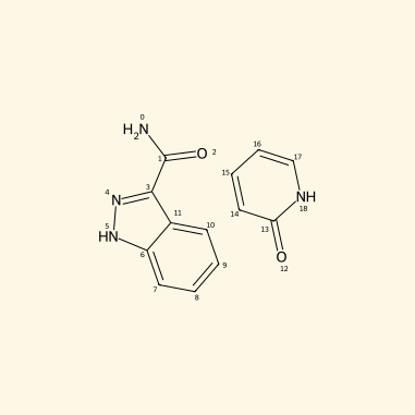 NC(=O)c1n[nH]c2ccccc12.O=c1cccc[nH]1